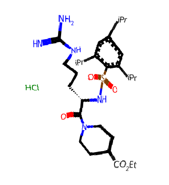 CCOC(=O)C1CCN(C(=O)[C@H](CCCNC(=N)N)NS(=O)(=O)c2c(C(C)C)cc(C(C)C)cc2C(C)C)CC1.Cl